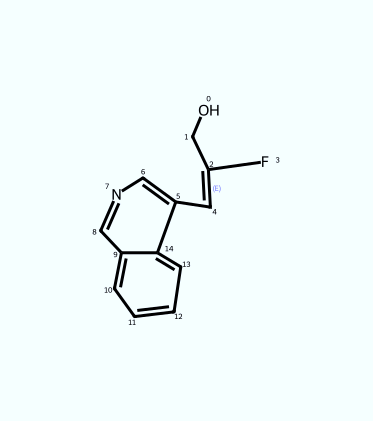 OC/C(F)=C\c1cncc2ccccc12